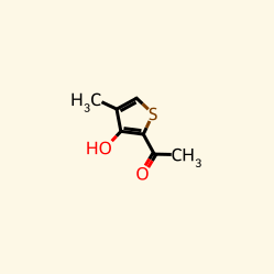 CC(=O)c1scc(C)c1O